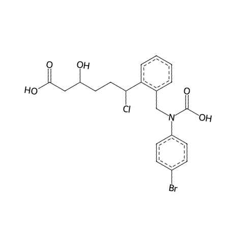 O=C(O)CC(O)CCC(Cl)c1ccccc1CN(C(=O)O)c1ccc(Br)cc1